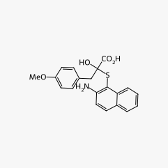 COc1ccc(CC(O)(Sc2c(N)ccc3ccccc23)C(=O)O)cc1